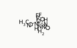 Cc1cc(CNC(=O)C(N)C(c2cccc(C(F)(F)F)c2)c2nc3ccccc3[nH]2)ccn1